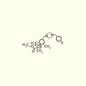 CCOC(=O)C(C)(C)Oc1c(C)cc(CN2CCN(Cc3ccc(F)cc3)CC2)cc1C